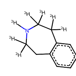 [2H]N1C([2H])([2H])Cc2ccccc2C([2H])([2H])C1([2H])[2H]